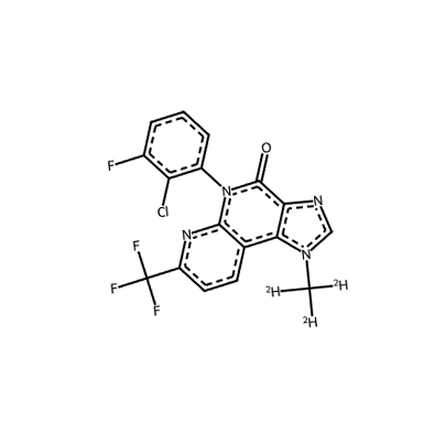 [2H]C([2H])([2H])n1cnc2c(=O)n(-c3cccc(F)c3Cl)c3nc(C(F)(F)F)ccc3c21